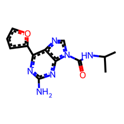 CC(C)NC(=O)n1cnc2c(-c3ccco3)nc(N)nc21